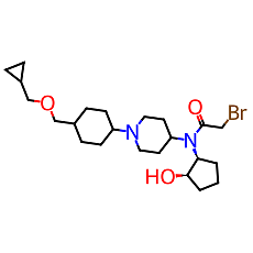 O=C(CBr)N(C1CCN(C2CCC(COCC3CC3)CC2)CC1)[C@H]1CCC[C@H]1O